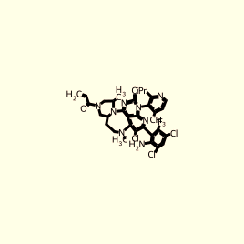 C=CC(=O)N1CC(C)N2c3nc(=O)n(-c4c(C)ccnc4C(C)C)c4nc(-c5c(N)c(Cl)cc(Cl)c5F)c(Cl)c(c34)N(C)CCC2C1